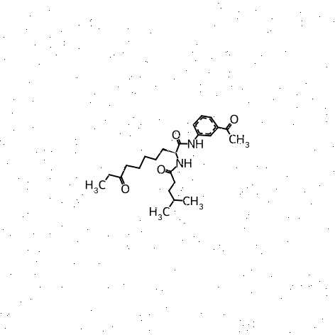 CCC(=O)CCCCC[C@H](NC(=O)CCC(C)C)C(=O)Nc1cccc(C(C)=O)c1